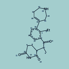 CCc1c(C(=O)C(C)C2CCC(=O)NC2=O)cccc1C1=CCCNCC1